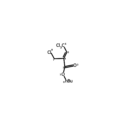 CCCCOC(=O)C(=CC(Cl)(Cl)Cl)CCl